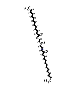 CCCCCCCCCCCCCC(=O)/C=C/CNCCOC(=O)CCCCCCCCCCCCC